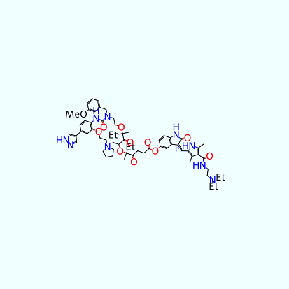 CCN(CC)CCNC(=O)c1c(C)[nH]c(/C=C2\C(=O)Nc3ccc(OC(=O)CCC(=O)C(C)(CC)OC(C)C(=O)C(C)(CC)OCCN(Cc4cccc(OC)c4)C(=O)Nc4ccc(-c5cn[nH]c5)cc4OCCN4CCCC4)cc32)c1C